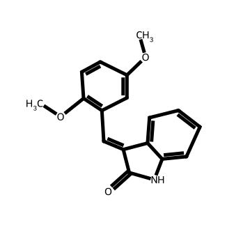 COc1ccc(OC)c(/C=C2/C(=O)Nc3ccccc32)c1